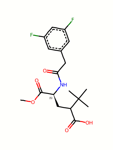 COC(=O)[C@H](CC(C(=O)O)C(C)(C)C)NC(=O)Cc1cc(F)cc(F)c1